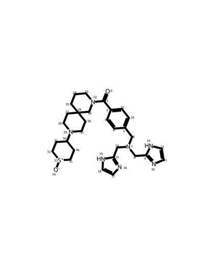 O=C(c1ccc(CN(Cc2ncc[nH]2)Cc2ncc[nH]2)cc1)N1CCCC2(CCN(C3CC[S+]([O-])CC3)CC2)C1